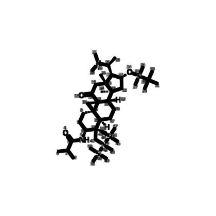 CC(C)C(=O)N[C@H]1CC[C@]23C[C@]24C(=O)C[C@]2(C)[C@@H]([C@H](C)N(C)C)[C@H](O[Si](C)(C)C(C)(C)C)C[C@@]2(C)[C@@H]4CC[C@H]3[C@]1(C)C[N+](C)([Si](C)(C)C)[Si](C)(C)C